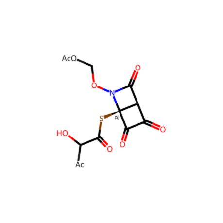 CC(=O)OCON1C(=O)C2C(=O)C(=O)[C@@]21SC(=O)C(O)C(C)=O